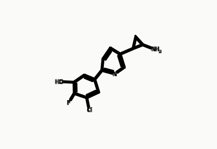 NC1CC1c1ccc(-c2cc(O)c(F)c(Cl)c2)nc1